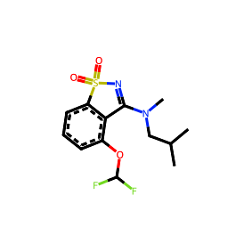 CC(C)CN(C)C1=NS(=O)(=O)c2cccc(OC(F)F)c21